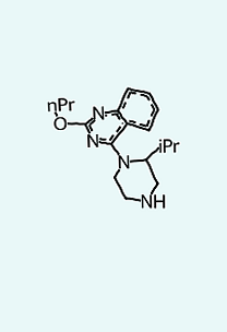 CCCOc1nc(N2CCNCC2C(C)C)c2ccccc2n1